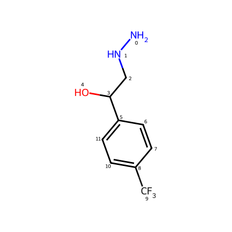 NNCC(O)c1ccc(C(F)(F)F)cc1